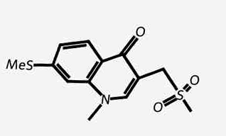 CSc1ccc2c(=O)c(CS(C)(=O)=O)cn(C)c2c1